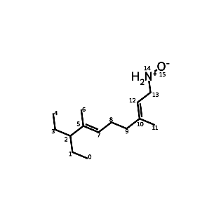 CCC(CC)C(C)=CCCC(C)=CC[NH2+][O-]